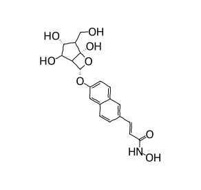 O=C(/C=C/c1ccc2cc(O[C@H]3O[C@@]4(O)C3C(O)[C@H](O)C4CO)ccc2c1)NO